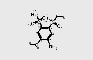 CCS(=O)(=O)c1cc(N)c(OC)cc1S(=O)(=O)O